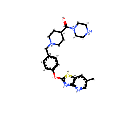 Cc1cnc2nc(Oc3ccc(CN4CCC(C(=O)N5CCNCC5)CC4)cc3)sc2c1